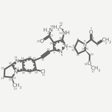 C=CC(=O)N1C[C@@H](n2nc(C#Cc3cc4nc5n(c4cc3Cl)[C@@H](C)CC5)c(C(N)=O)c2NC)C[C@@H]1COC